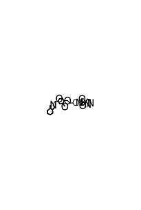 Cn1nccc1S(=O)(=O)N1CCC(COc2coc(Cn3cc4ccccc4c3)cc2=O)CC1